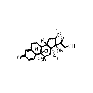 CC1C[C@H]2[C@@H]3CCC4=CC(=O)C=C[C@]4(C)[C@@]3(Cl)C(Cl)C[C@]2(C)[C@@]1(O)C(=O)CO